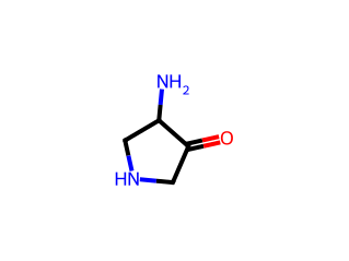 NC1CNCC1=O